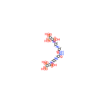 COc1cc(N=Nc2cc(C)c(N=Nc3cc4c(S(=O)(=O)O)cc(S(=O)(=O)O)cc4cc3S(=O)(=O)O)cc2C)c(C)cc1NC(=O)Nc1cc(C)c(N=Nc2cc(C)c(N=Nc3cc4c(S(=O)(=O)O)cc(S(=O)(=O)O)cc4cc3S(=O)(=O)O)cc2C)cc1OC